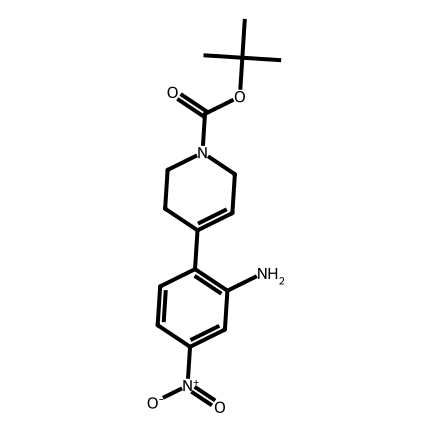 CC(C)(C)OC(=O)N1CC=C(c2ccc([N+](=O)[O-])cc2N)CC1